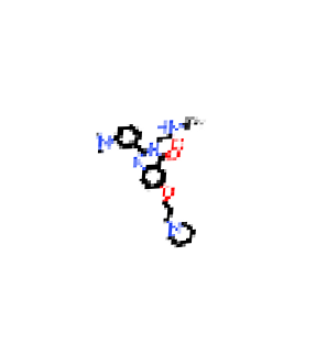 CC(C)NC(=O)Cn1c(-c2cccc(N(C)C)c2)nc2ccc(OCCCN3CCCCC3)cc2c1=O